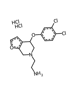 Cl.Cl.NCCN1Cc2occc2C(Oc2ccc(Cl)c(Cl)c2)C1